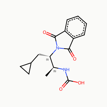 C[C@H](NC(=O)O)[C@H](CC1CC1)N1C(=O)c2ccccc2C1=O